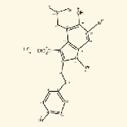 CCOC(=O)c1c(CSc2ccc(C(C)C)cc2)n(C(C)C)c2cc(Br)c(O)c(CN(C)C)c12.Cl